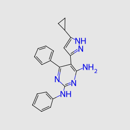 Nc1nc(Nc2ccccc2)nc(-c2ccccc2)c1-c1cc(C2CC2)[nH]n1